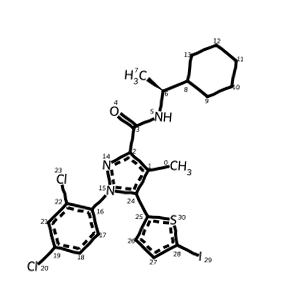 Cc1c(C(=O)N[C@@H](C)C2CCCCC2)nn(-c2ccc(Cl)cc2Cl)c1-c1ccc(I)s1